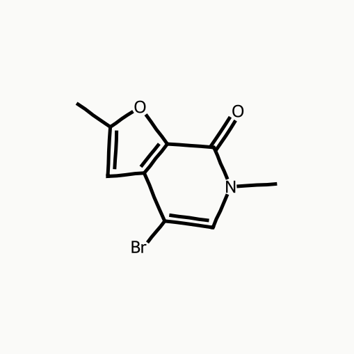 Cc1cc2c(Br)cn(C)c(=O)c2o1